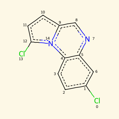 Clc1ccc2c(c1)ncc1ccc(Cl)n12